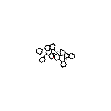 c1ccc(-c2ccccc2-n2c3ccccc3c3ccc(-n4c5ccccc5c5c([Si](c6ccccc6)(c6ccccc6)c6ccccc6)cccc54)cc32)cc1